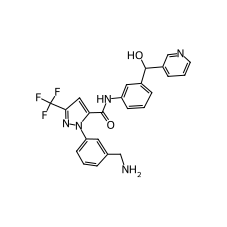 NCc1cccc(-n2nc(C(F)(F)F)cc2C(=O)Nc2cccc(C(O)c3cccnc3)c2)c1